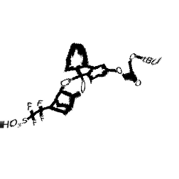 CC(C)(C)OC(=O)COc1ccc2c(c1)-c1ccccc1C21OC2C3CC(C2O1)C(C(F)(F)C(F)(F)S(=O)(=O)O)C3